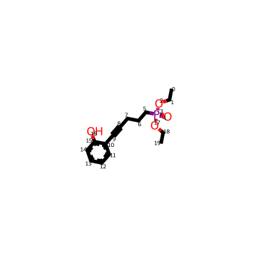 CCOP(=O)(CCCC#Cc1ccccc1O)OCC